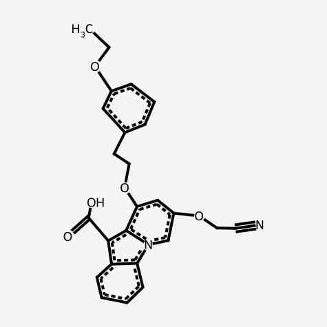 CCOc1cccc(CCOc2cc(OCC#N)cn3c2c(C(=O)O)c2ccccc23)c1